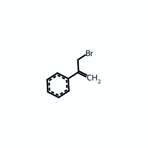 C=C(CBr)c1ccccc1